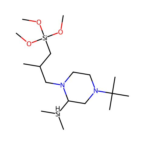 CO[Si](CC(C)CN1CCN(C(C)(C)C)CC1[SiH](C)C)(OC)OC